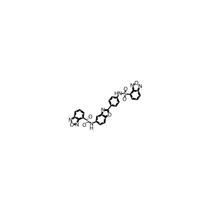 O=S(=O)(Nc1ccc(-c2nc3cc(NS(=O)(=O)c4cccc5nonc45)ccc3o2)cc1)c1cccc2nonc12